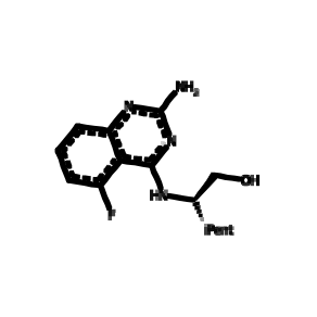 CCC[C@@H](C)[C@H](CO)Nc1nc(N)nc2cccc(F)c12